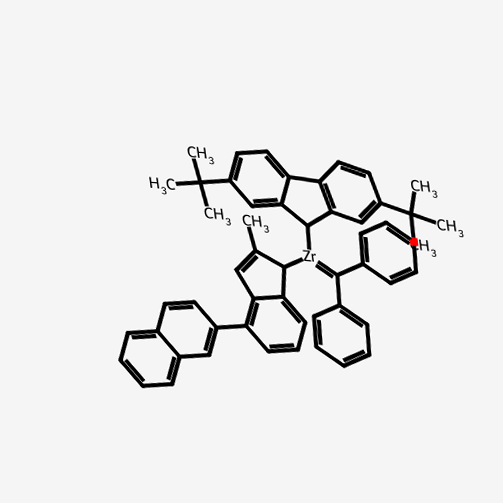 CC1=Cc2c(-c3ccc4ccccc4c3)cccc2[CH]1[Zr](=[C](c1ccccc1)c1ccccc1)[CH]1c2cc(C(C)(C)C)ccc2-c2ccc(C(C)(C)C)cc21